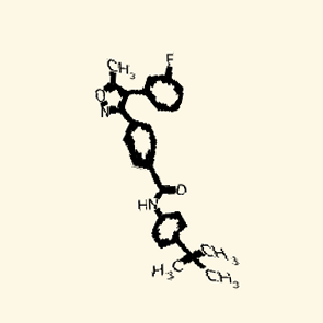 Cc1onc(-c2ccc(C(=O)Nc3ccc(C(C)(C)C)cc3)cc2)c1-c1cccc(F)c1